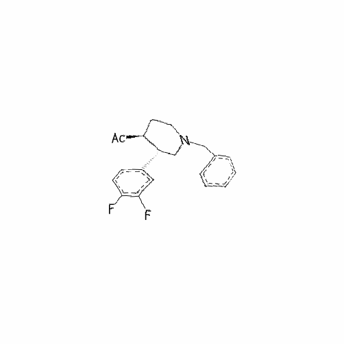 CC(=O)[C@H]1CCN(Cc2ccccc2)C[C@@H]1c1ccc(F)c(F)c1